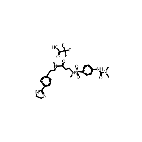 CN(C)C(=O)Nc1ccc(S(=O)(=O)N(C)CCC(=O)N(C)CCc2ccc(C3=NCCN3)cc2)cc1.O=C(O)C(F)(F)F